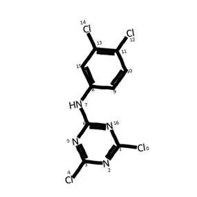 Clc1nc(Cl)nc(Nc2ccc(Cl)c(Cl)c2)n1